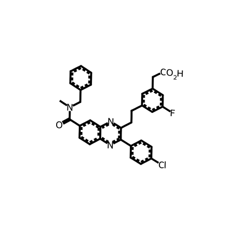 CN(Cc1ccccc1)C(=O)c1ccc2nc(-c3ccc(Cl)cc3)c(CCc3cc(F)cc(CC(=O)O)c3)nc2c1